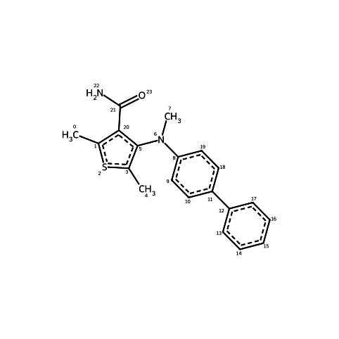 Cc1sc(C)c(N(C)c2ccc(-c3ccccc3)cc2)c1C(N)=O